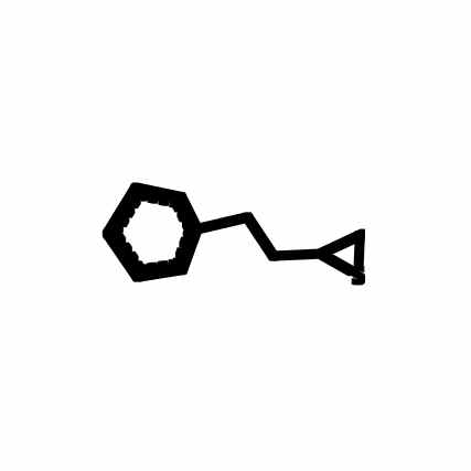 c1ccc(CCC2CS2)cc1